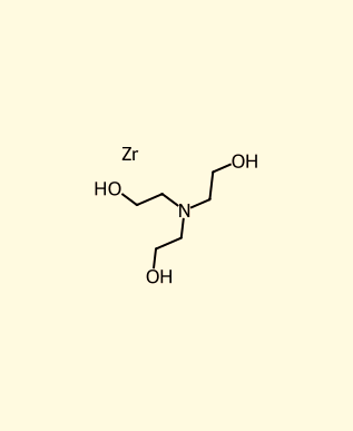 OCCN(CCO)CCO.[Zr]